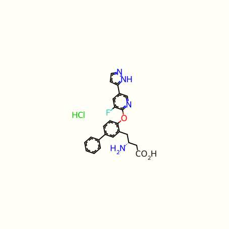 Cl.N[C@@H](CC(=O)O)Cc1cc(-c2ccccc2)ccc1Oc1ncc(-c2ccn[nH]2)cc1F